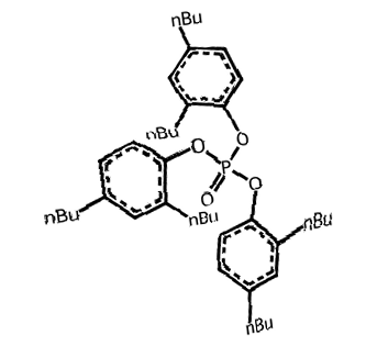 CCCCc1ccc(OP(=O)(Oc2ccc(CCCC)cc2CCCC)Oc2ccc(CCCC)cc2CCCC)c(CCCC)c1